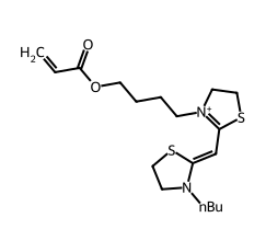 C=CC(=O)OCCCC[N+]1=C(C=C2SCCN2CCCC)SCC1